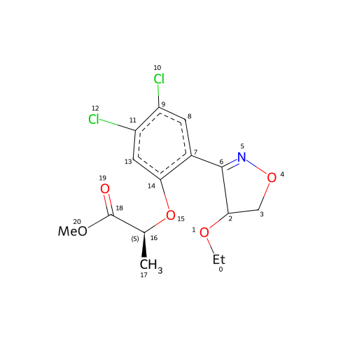 CCOC1CON=C1c1cc(Cl)c(Cl)cc1O[C@@H](C)C(=O)OC